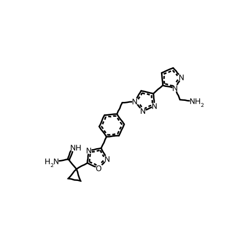 N=C(N)C1(c2nc(-c3ccc(Cn4cc(-c5ccnn5CN)nn4)cc3)no2)CC1